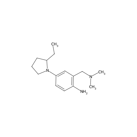 CCC1CCCN1c1ccc(N)c(CN(C)C)c1